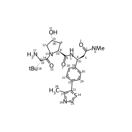 CNC(=O)C[C@H](NC(=O)[C@@H]1C[C@@H](O)CN1C(=O)[C@@H](N)C(C)(C)C)c1ccc(-c2scnc2C)cc1